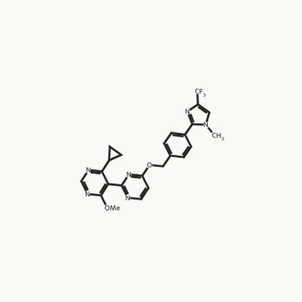 COc1ncnc(C2CC2)c1-c1nccc(OCc2ccc(-c3nc(C(F)(F)F)cn3C)cc2)n1